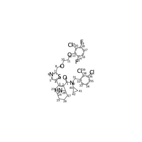 O=C(C1=C(c2cnc(COCCOc3c(F)ccc(F)c3Cl)s2)CC2CCCC1N2)N(Cc1cccc(Cl)c1Cl)C1CC1